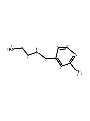 Cc1cc(CNCCO)ccn1